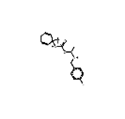 CC(NCc1ccc(F)cc1)OC(=O)NC1(N)C=CCC=C1